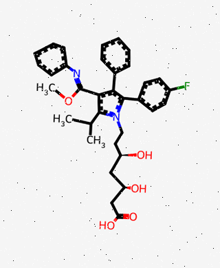 CO/C(=N\c1ccccc1)c1c(-c2ccccc2)c(-c2ccc(F)cc2)n(CC[C@@H](O)C[C@@H](O)CC(=O)O)c1C(C)C